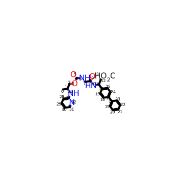 CC(COC(=O)NCC(=O)NC(CC(=O)O)c1ccc(-c2ccccc2)cc1)Nc1ccccn1